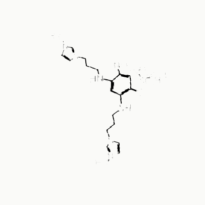 Cn1cc[n+](CCCNc2cc(NCCCn3cc[n+](C)c3)c(Cl)cc2[N+](=O)[O-])c1.O=S(=O)([O-])O.O=S(=O)([O-])O